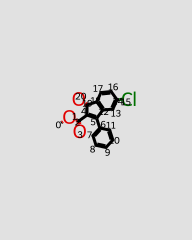 COC(=O)C1=C(c2ccccc2)c2cc(Cl)ccc2C1=O